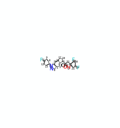 C[C@]12Cc3cnn(-c4ccc(F)cc4)c3C=C1CCC2[C@@H](O)Cc1ccc(F)cc1F